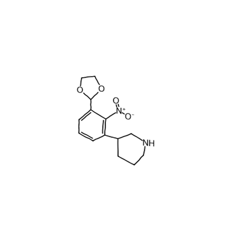 O=[N+]([O-])c1c(C2CCCNC2)cccc1C1OCCO1